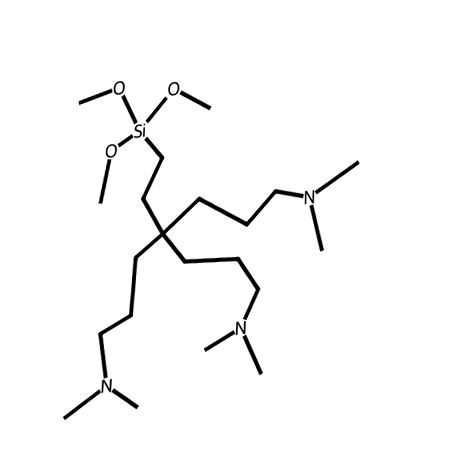 CO[Si](CCC(CCCN(C)C)(CCCN(C)C)CCCN(C)C)(OC)OC